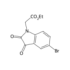 CCOC(=O)CN1C(=O)C(=O)c2cc(Br)ccc21